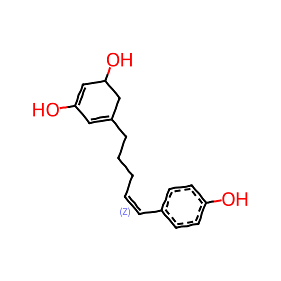 OC1=CC(O)CC(CCC/C=C\c2ccc(O)cc2)=C1